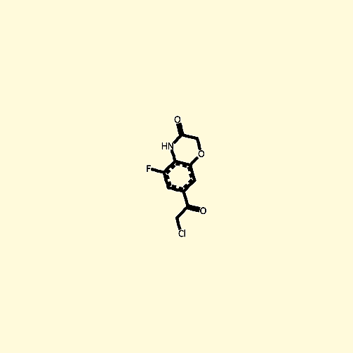 O=C1COc2cc(C(=O)CCl)cc(F)c2N1